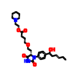 CCCCCC(O)c1ccc(N2C(=O)NC(=O)[C@@H]2CCOCCCC(=O)OCCN2CCCCC2)cc1